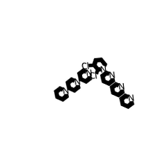 Clc1cccnc1Cl.c1ccncc1.c1ccncc1.c1ccncc1.c1ccncc1.c1ccncc1.c1ccncc1